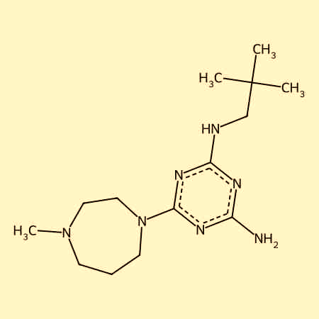 CN1CCCN(c2nc(N)nc(NCC(C)(C)C)n2)CC1